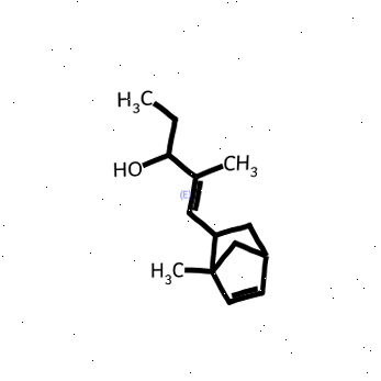 CCC(O)/C(C)=C/C1CC2C=CC1(C)C2